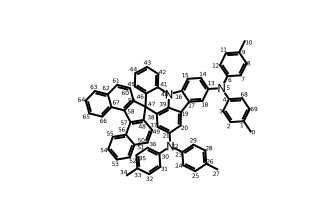 Cc1ccc(N(c2ccc(C)cc2)c2ccc3c(c2)c2cc(N(c4ccc(C)cc4)c4ccc(C)cc4)cc4c2n3-c2ccccc2C42c3ccc4ccccc4c3-c3c2ccc2ccccc32)cc1